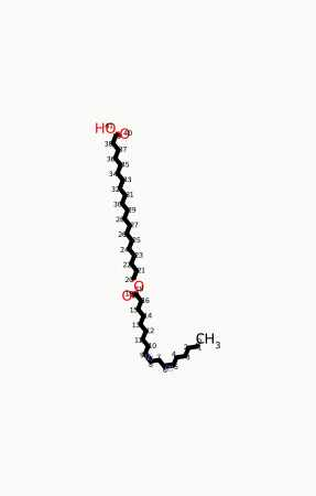 CCCCC/C=C\C/C=C\CCCCCCCC(=O)OCCCCCCCCCCCCCCCCCCCC(=O)O